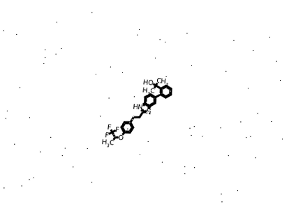 CC(Oc1ccc(CCc2nc3cc(-c4ccccc4C(C)(C)O)ccc3[nH]2)cc1)C(F)(F)F